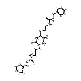 O=C(NCCCC1NC(O)C(CCCNC(=O)OCc2ccccc2)NC1=O)OCc1ccccc1